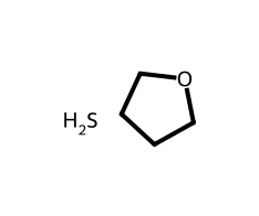 C1CCOC1.S